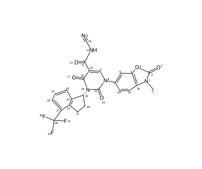 Cn1c(=O)oc2cc(-n3cc(C(=O)NC#N)c(=O)n([C@@H]4CCc5c4cccc5C(F)(F)F)c3=O)ccc21